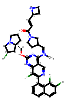 C/[N+](=C/C1CCN(C(=O)/C=C/C2CCN2)C1)c1nc(OC[C@@]23CCCN2C[C@H](F)C3)nc2c(F)c(-c3cccc4ccc(F)c(Cl)c34)ncc12